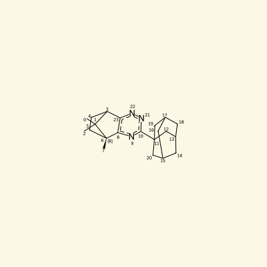 CC1(C)C2CC[C@@]1(C)c1nc(C34CC5CC(CC(C5)C3)C4)nnc12